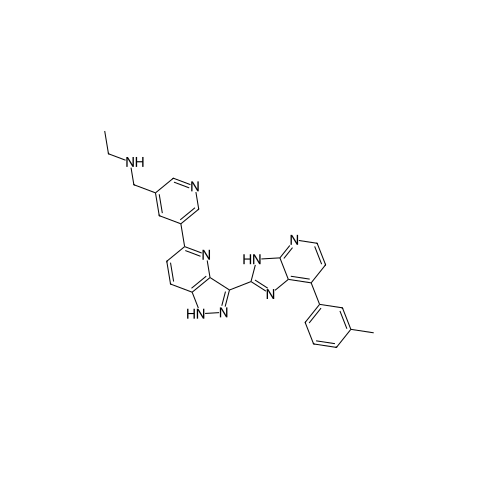 CCNCc1cncc(-c2ccc3[nH]nc(-c4nc5c(-c6cccc(C)c6)ccnc5[nH]4)c3n2)c1